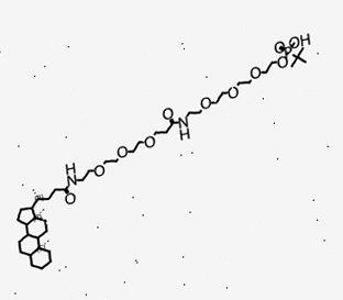 C[C@H](CCC(=O)NCCOCCOCCOCCC(=O)NCCOCCOCCOCCOP(=O)(O)C(C)(C)C)C1CCC2C3CCC4CCCC[C@]4(C)C3CC[C@@]21C